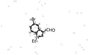 CCn1cc(C=O)c2cc(Br)ccc21